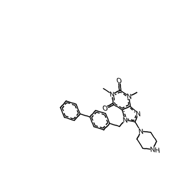 Cn1c(=O)c2c(nc(N3CCNCC3)n2Cc2ccc(-c3ccccc3)cc2)n(C)c1=O